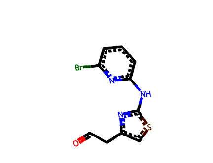 O=CCc1csc(Nc2cccc(Br)n2)n1